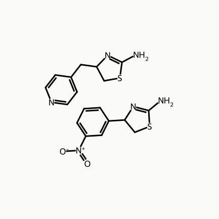 NC1=NC(Cc2ccncc2)CS1.NC1=NC(c2cccc([N+](=O)[O-])c2)CS1